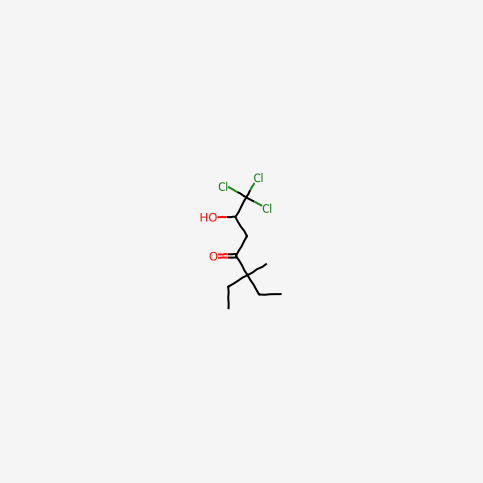 CCC(C)(CC)C(=O)CC(O)C(Cl)(Cl)Cl